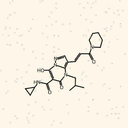 CC(C)Cn1c(=O)c(C(=O)NC2CC2)c(O)n2ncc(C=CC(=O)N3CCCCC3)c12